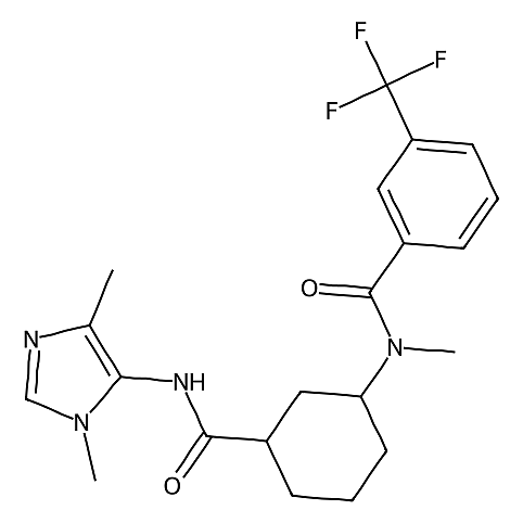 Cc1ncn(C)c1NC(=O)C1CCCC(N(C)C(=O)c2cccc(C(F)(F)F)c2)C1